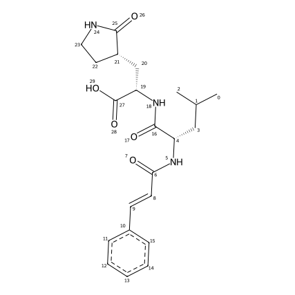 CC(C)C[C@H](NC(=O)/C=C/c1ccccc1)C(=O)N[C@@H](C[C@@H]1CCNC1=O)C(=O)O